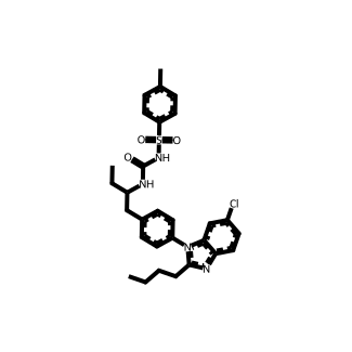 CCCCc1nc2ccc(Cl)cc2n1-c1ccc(CC(CC)NC(=O)NS(=O)(=O)c2ccc(C)cc2)cc1